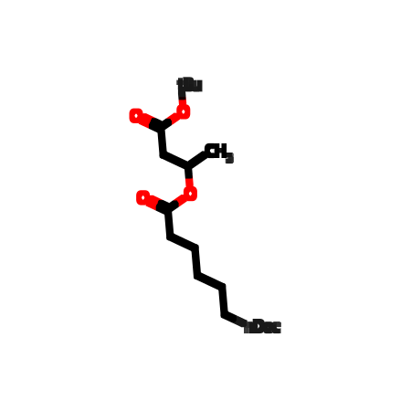 CCCCCCCCCCCCCCCC(=O)OC(C)CC(=O)OC(C)(C)C